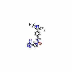 Cn1cc(-c2ccc(C3CN(C(=O)N4CC[C@H](c5nnc[nH]5)C4)C3)cc2)c(C(F)(F)F)n1